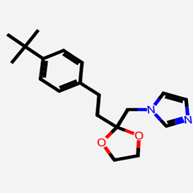 CC(C)(C)c1ccc(CCC2(Cn3ccnc3)OCCO2)cc1